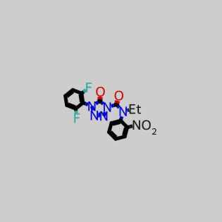 CCN(C(=O)n1nnn(-c2c(F)cccc2F)c1=O)c1ccccc1[N+](=O)[O-]